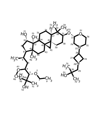 CCO[C@@H](C(C[C@@H](C)[C@H]1C[C@H](O)[C@@]2(C)C3CC[C@H]4C(C)(C)[C@@H](O[C@H]5CN(C6CN(CC(C)(C)O)C6)CCO5)CC[C@@]45C[C@@]35CC[C@]12C)OC)C(C)(C)O